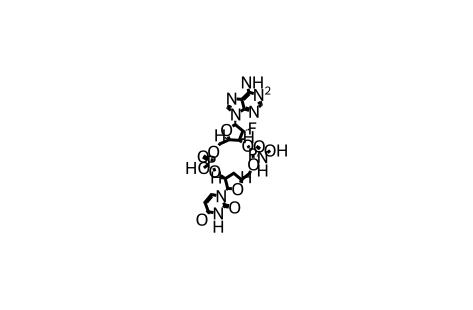 Nc1ncnc2c1ncn2[C@@H]1O[C@@H]2COP(=O)(O)O[C@@H]3C[C@@H](COP(=O)(NO)O[C@H]2[C@H]1F)O[C@H]3n1ccc(=O)[nH]c1=O